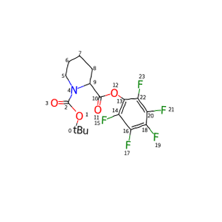 CC(C)(C)OC(=O)N1CCCCC1C(=O)Oc1c(F)c(F)c(F)c(F)c1F